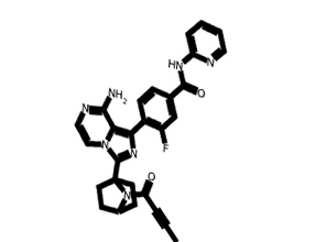 CC#CC(=O)N1C2CCC1(c1nc(-c3ccc(C(=O)Nc4ccccn4)cc3F)c3c(N)nccn13)CC2